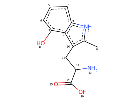 Cc1[nH]c2cccc(O)c2c1CC(N)C(=O)O